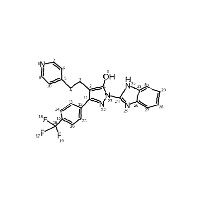 Oc1c(CCc2ccncc2)c(-c2ccc(C(F)(F)F)cc2)nn1-c1nc2ccccc2[nH]1